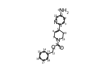 Nc1ccc(C2=CCN(C(=O)OCc3ccccc3)CC2)nc1